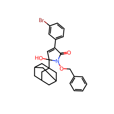 O=C1C(c2cccc(Br)c2)=CC(O)(C23CC4CC(CC(C4)C2)C3)N1OCc1ccccc1